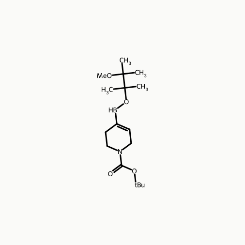 COC(C)(C)C(C)(C)OBC1=CCN(C(=O)OC(C)(C)C)CC1